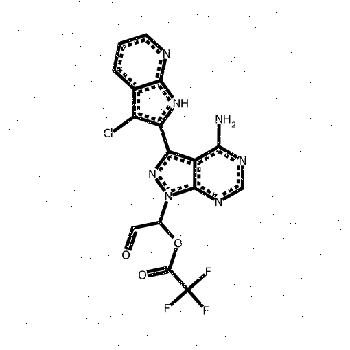 Nc1ncnc2c1c(-c1[nH]c3ncccc3c1Cl)nn2C(C=O)OC(=O)C(F)(F)F